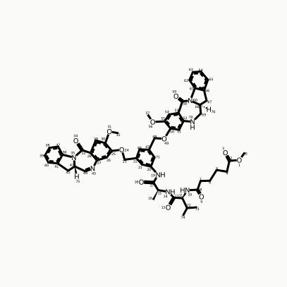 COC(=O)CCCCC(=O)N[C@H](C(=O)N[C@@H](C)C(=O)Nc1cc(COc2cc3c(cc2OC)C(=O)N2c4ccccc4C[C@H]2C=N3)cc(COc2cc3c(cc2OC)C(=O)N2c4ccccc4C[C@H]2CN3)c1)C(C)C